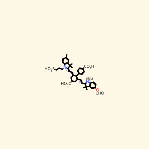 CCCC[N+]1=C(/C=C/C2=C(c3ccc(C(=O)O)cc3)C(=C/C=C3/N(CCCS(=O)(=O)O)c4ccc(C)cc4C3(C)C)/CC(C(=O)O)C2)C(C)(C)c2cc(OC=O)ccc21